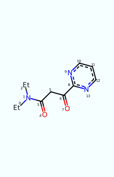 CCN(CC)C(=O)CC(=O)c1ncccn1